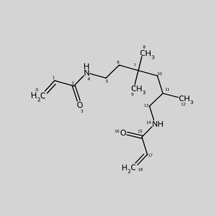 C=CC(=O)NCCC(C)(C)CC(C)CNC(=O)C=C